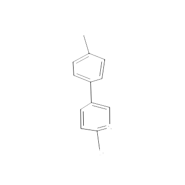 CCc1[c]cc(-c2ccc(Br)cc2)cn1